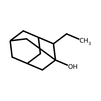 CCC1C2CC3CC(C2)CC1(O)C3